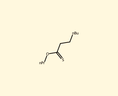 CCCCCCC(=S)OCCC